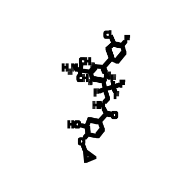 CC(C)(N)c1cc(-c2ccc(F)c(Cl)c2)nc(C(F)(CNC(=O)c2ccc(OC3CC3)c(O)c2)C(F)(F)F)c1